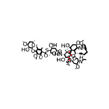 CC#C/C=C\C#C[C@H](O[C@@H]1O[C@H](C)[C@@H](NO[C@H]2C[C@H](O)[C@H](SC(=O)c3c(C)c(I)c(O[C@@H]4O[C@@H](C)C[C@@H](OC)[C@H]4O)c(OC)c3OC)[C@@H](C)O2)[C@H](O)[C@H]1O[C@H]1C[C@H](OC)[C@@H](NCC)CO1)C1=C(NC(=O)OC)C(=O)C[C@](C)(O)/C1=C/CSSSC